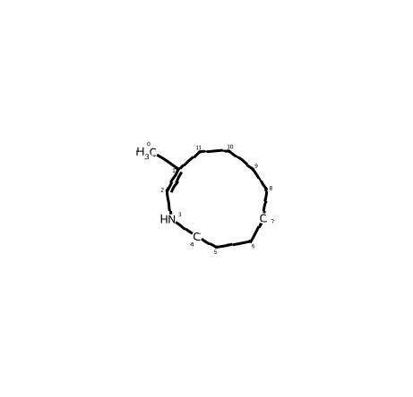 C/C1=C/NCCCCCCCC1